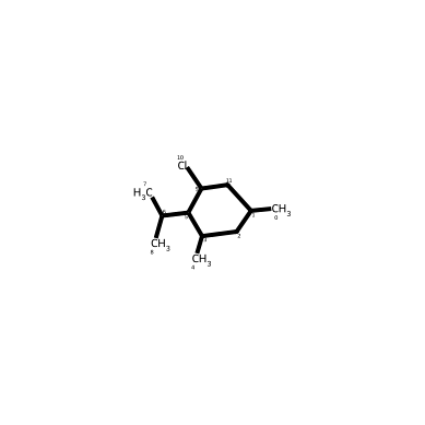 CC1CC(C)C(C(C)C)C(Cl)C1